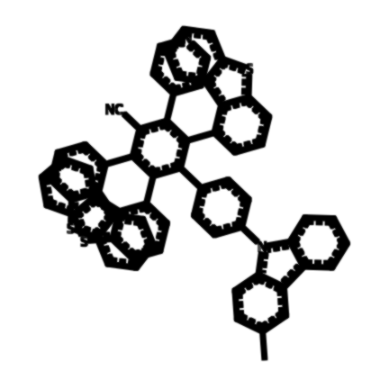 Cc1ccc2c(c1)c1ccccc1n2-c1ccc(-c2c(-c3cccc4sc5ccccc5c34)c(-c3ccncc3)c(C#N)c(-c3cccc4sc5ccccc5c34)c2-c2cccc3sc4ccccc4c23)cc1